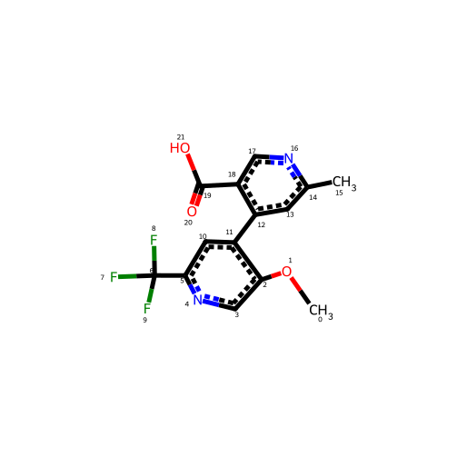 COc1cnc(C(F)(F)F)cc1-c1cc(C)ncc1C(=O)O